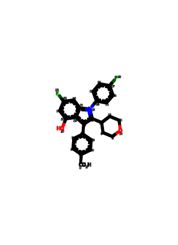 O=C(O)c1ccc(-c2c(C3CCOCC3)n(-c3ccc(F)cc3)c3cc(F)cc(O)c23)cc1